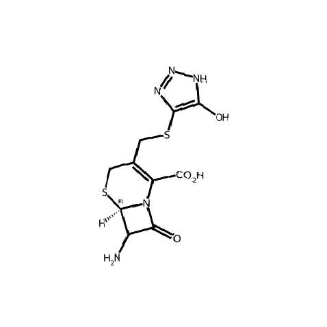 NC1C(=O)N2C(C(=O)O)=C(CSc3nn[nH]c3O)CS[C@H]12